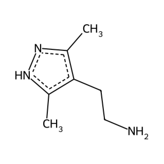 Cc1n[nH]c(C)c1CCN